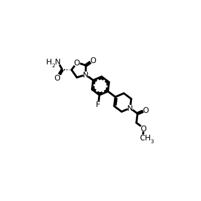 COCC(=O)N1CC=C(c2ccc(N3C[C@H](C(N)=O)OC3=O)cc2F)CC1